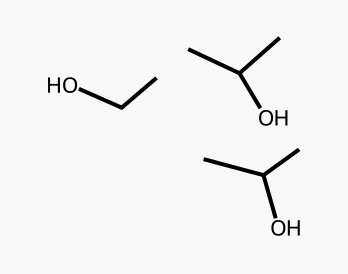 CC(C)O.CC(C)O.CCO